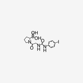 O=C(NCC(=O)N1CCCC1B(O)O)Nc1ccc(I)cc1